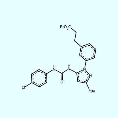 CCOC(=O)CCc1cccc(-n2nc(C(C)(C)C)cc2NC(=O)Nc2ccc(Cl)cc2)c1